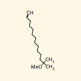 [CH]=CCCCCCCCCCCC(C)(C)OC